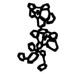 c1ccc(-c2cccc([Si](c3ccccc3)(c3cccc(-c4ccccc4)c3)c3cc(-c4ccccc4)c(-n4c5ccccc5c5cc(-c6ccc7c(c6)c6ccccc6n7-c6c(-c7ccccc7)cccc6-c6ccccc6)ccc54)c(-c4ccccc4)c3)c2)cc1